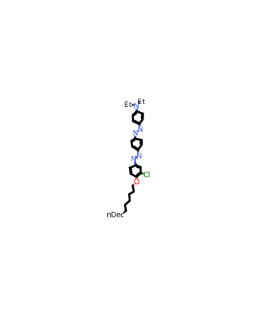 CCCCCCCCCCCCCCCCOc1ccc(N=Nc2ccc(N=Nc3ccc(N(CC)CC)cc3)cc2)cc1Cl